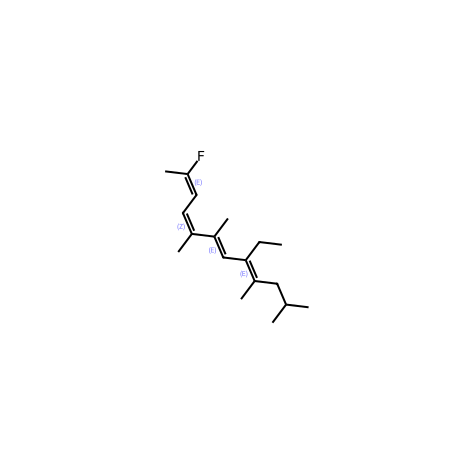 CCC(/C=C(C)/C(C)=C\C=C(/C)F)=C(/C)CC(C)C